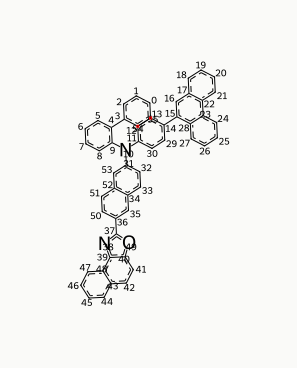 c1ccc(-c2ccccc2N(c2ccc(-c3cc4ccccc4c4ccccc34)cc2)c2ccc3cc(-c4nc5c(ccc6ccccc65)o4)ccc3c2)cc1